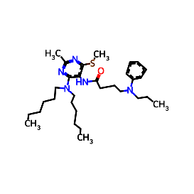 CCCCCCN(CCCCCC)c1nc(C)nc(SC)c1NC(=O)CCCN(CCC)c1ccccc1